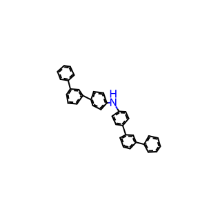 c1ccc(-c2cccc(-c3ccc(Nc4ccc(-c5cccc(-c6ccccc6)c5)cc4)cc3)c2)cc1